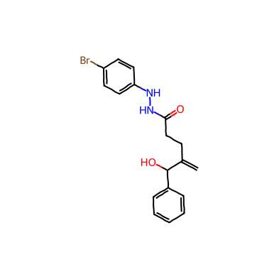 C=C(CCC(=O)NNc1ccc(Br)cc1)C(O)c1ccccc1